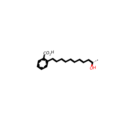 C[C@H](O)CCCCCCCCCc1ccccc1C(=O)O